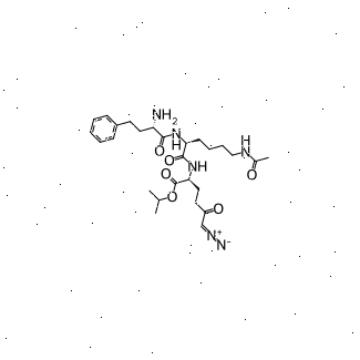 CC(=O)NCCCC[C@H](NC(=O)[C@@H](N)CCc1ccccc1)C(=O)N[C@@H](CCC(=O)C=[N+]=[N-])C(=O)OC(C)C